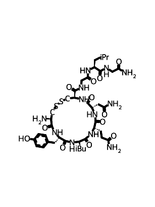 CC[C@H](C)C1NC(=O)[C@H](Cc2ccc(O)cc2)NC(=O)[C@@H](N)CSSC[C@@H](C(=O)NCC(=O)N[C@@H](CC(C)C)C(=O)NCC(N)=O)NC(=O)[C@H](CC(N)=O)NC(=O)[C@H](CCC(N)=O)NC1=O